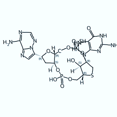 Nc1nc2c(c(=O)[nH]1)NNN2[C@@]12CS[C@H](COP(=O)(O)O[C@H]3C[C@H](c4cnc5c(N)ncnn45)O[C@@H]3COP(=O)(S)O1)[C@H]2O